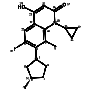 Cc1c(N2CC[C@H](C)C2)c(F)cc2c(O)cc(=O)n(C3CC3)c12